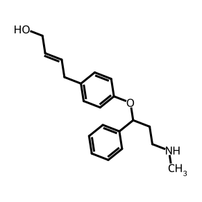 CNCCC(Oc1ccc(CC=CCO)cc1)c1ccccc1